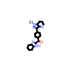 CCn1nc(-c2ccc(C(=O)c3nc4ccccc4[nH]3)cc2)c2ncccc21